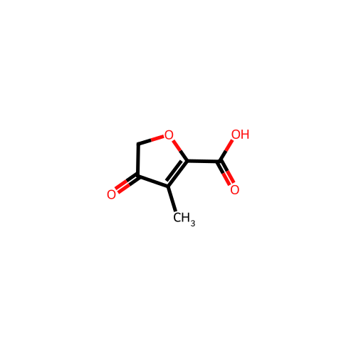 CC1=C(C(=O)O)OCC1=O